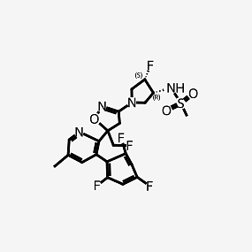 Cc1cnc(C2(CF)CC(N3C[C@H](F)[C@H](NS(C)(=O)=O)C3)=NO2)c(-c2c(F)cc(F)cc2F)c1